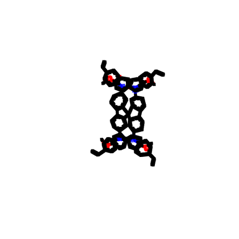 C=Cc1ccc(N(c2ccc(OC)cc2)c2ccc3c(c2)C2(c4cc(N(c5ccc(C=C)cc5)c5ccc(OC)cc5)ccc4-3)c3cc(N(c4ccc(C=C)cc4)c4ccc(OC)cc4)ccc3-c3ccc(N(c4ccc(C=C)cc4)c4ccc(OC)cc4)cc32)cc1